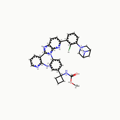 CC(=O)N1C2CC1CN(c1cccc(-c3ccc4nc(-c5cccnc5N)n(-c5ccc(C6(NC(=O)OC(C)(C)C)CCC6)cc5)c4n3)c1F)C2